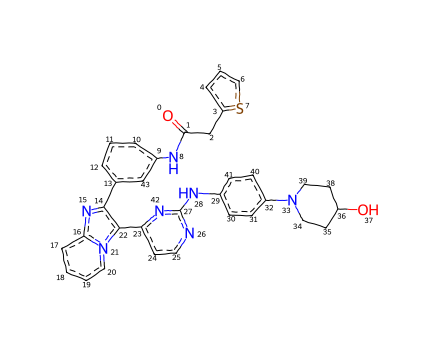 O=C(Cc1cccs1)Nc1cccc(-c2nc3ccccn3c2-c2ccnc(Nc3ccc(N4CCC(O)CC4)cc3)n2)c1